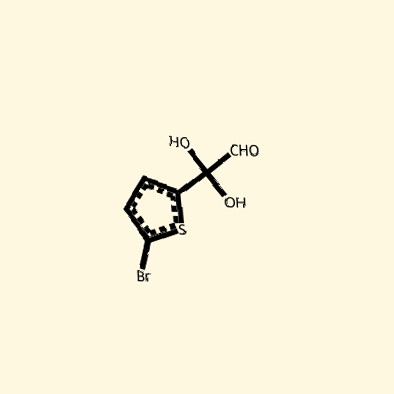 O=CC(O)(O)c1ccc(Br)s1